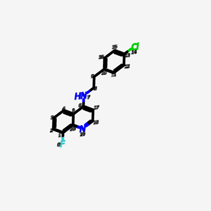 Fc1cccc2c(NCCc3ccc(Cl)cc3)ccnc12